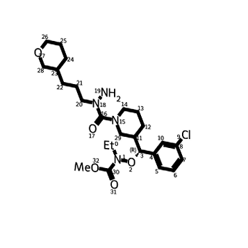 CCN(O[C@@H](c1cccc(Cl)c1)C1CCCN(C(=O)N(N)CCCC2CCCOC2)C1)C(=O)OC